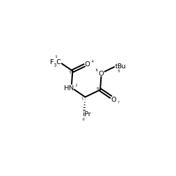 CC(C)[C@H](NC(=O)C(F)(F)F)C(=O)OC(C)(C)C